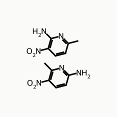 Cc1ccc([N+](=O)[O-])c(N)n1.Cc1nc(N)ccc1[N+](=O)[O-]